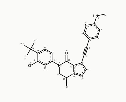 CNc1ccc(C#Cc2cnn3c2C(=O)N(c2ccc(C(F)(F)F)c(Cl)n2)C[C@@H]3C)cn1